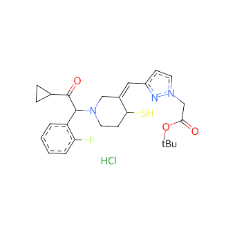 CC(C)(C)OC(=O)Cn1ccc(C=C2CN(C(C(=O)C3CC3)c3ccccc3F)CCC2S)n1.Cl